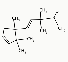 CC(O)C(C)(C)/C=C/C1(C)CC=CC1(C)C